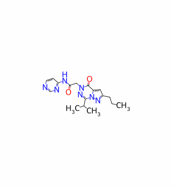 CCCc1cc2c(=O)n(CC(=O)Nc3ccncn3)nc(C(C)C)n2n1